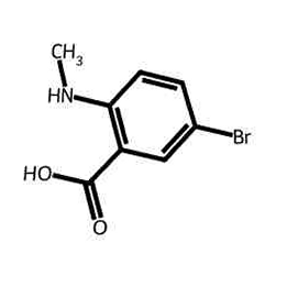 CNc1ccc(Br)cc1C(=O)O